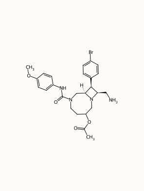 COc1ccc(NC(=O)N2CCC(OC(C)=O)CN3[C@H](CN)[C@H](c4ccc(Br)cc4)[C@@H]3C2)cc1